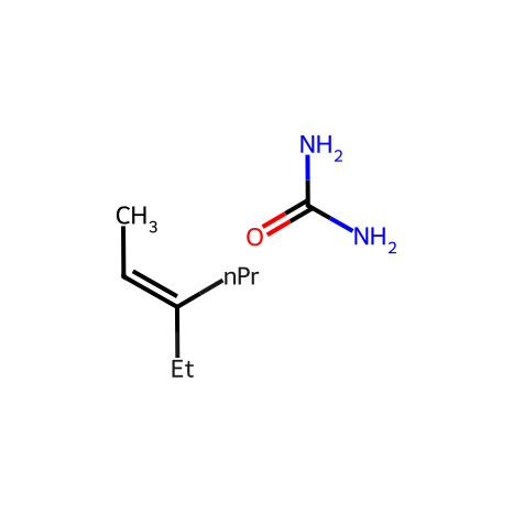 CC=C(CC)CCC.NC(N)=O